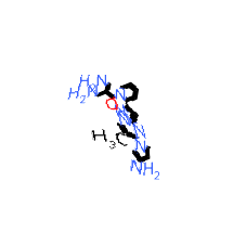 Cc1cn2nc([C@@H]3CCCCN3C(=O)C(CN)CN)cc2nc1N1CC[C@H](N)C1